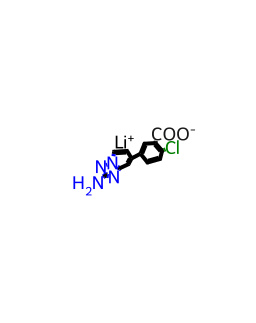 Nc1nc2cc(-c3ccc(Cl)c(C(=O)[O-])c3)ccn2n1.[Li+]